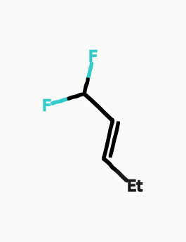 [CH2]CC=CC(F)F